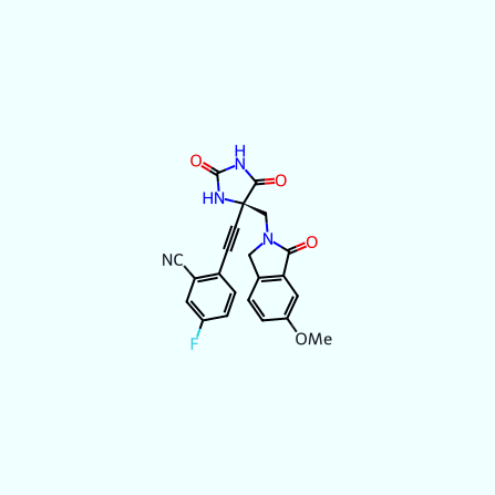 COc1ccc2c(c1)C(=O)N(C[C@@]1(C#Cc3ccc(F)cc3C#N)NC(=O)NC1=O)C2